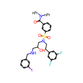 CCCN(CCC)C(=O)c1cccc(S(=O)(=O)N(CCc2cc(F)cc(F)c2)CC(O)CNCc2cccc(I)c2)c1